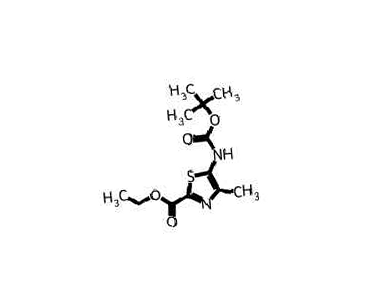 CCOC(=O)c1nc(C)c(NC(=O)OC(C)(C)C)s1